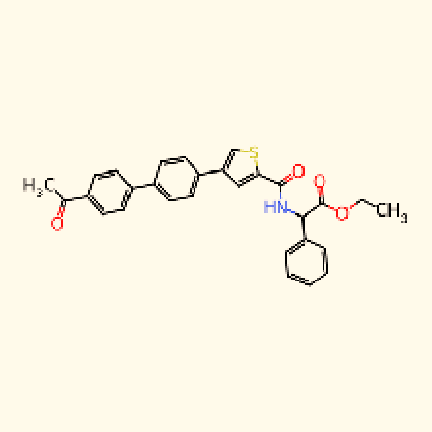 CCOC(=O)C(NC(=O)c1cc(-c2ccc(-c3ccc(C(C)=O)cc3)cc2)cs1)c1ccccc1